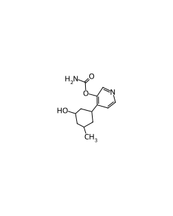 CC1CC(O)CC(c2ccncc2OC(N)=O)C1